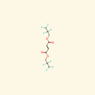 O=C(C=CC(=O)OCC(F)(F)C(F)F)OCC(F)(F)C(F)F